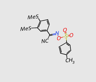 CSc1ccc(C(C#N)=NOS(=O)(=O)c2ccc(C)cc2)cc1SC